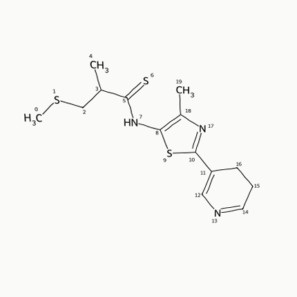 CSCC(C)C(=S)Nc1sc(C2=CN=CCC2)nc1C